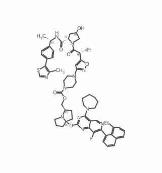 CCc1cccc2cccc(-c3ncc4c(N5CCCCCC5)nc(O[C@@]56CCCN5[C@@H](COC(=O)N5CCN(c7cc([C@H](C(=O)N8C[C@H](O)C[C@H]8C(=O)N[C@@H](C)c8ccc(-c9scnc9C)cc8)C(C)C)on7)CC5)CC6)nc4c3F)c12